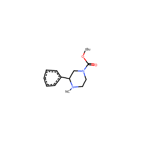 CC(C)(C)OC(=O)N1CCN(C#N)C(c2ccccc2)C1